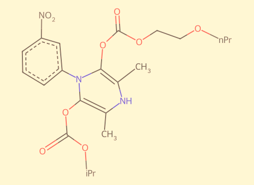 CCCOCCOC(=O)OC1=C(C)NC(C)=C(OC(=O)OC(C)C)N1c1cccc([N+](=O)[O-])c1